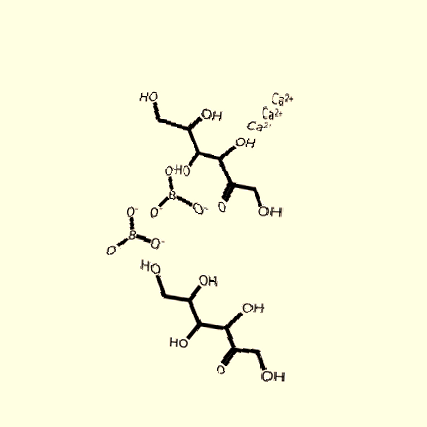 O=C(CO)C(O)C(O)C(O)CO.O=C(CO)C(O)C(O)C(O)CO.[Ca+2].[Ca+2].[Ca+2].[O-]B([O-])[O-].[O-]B([O-])[O-]